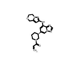 C=CC(=O)N1CCC[C@@H](c2cc(Nc3cc4n(n3)CCOC4)c3ncnn3c2)C1